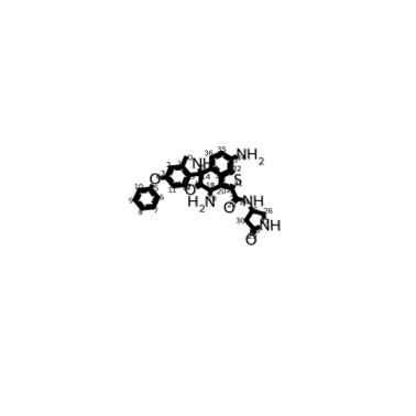 Cc1cc(Oc2ccccc2)ccc1C1(N)C(=O)C(N)c2c(C(=O)NC3CNC(=O)C3)sc3c(N)ccc1c23